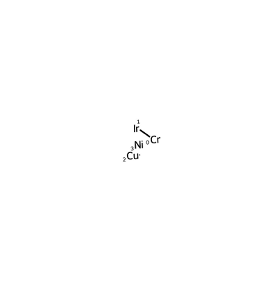 [Cr][Ir].[Cu].[Ni]